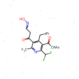 COC(=O)c1c(C(F)F)nc(C(F)(F)F)c(C(=O)CC=NO)c1CC(C)C